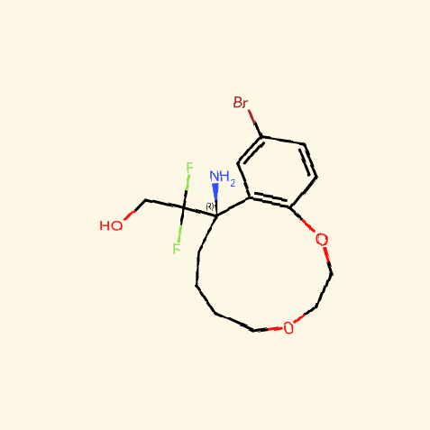 N[C@]1(C(F)(F)CO)CCCCOCCOc2ccc(Br)cc21